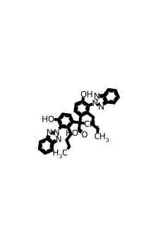 CCCCc1c(C(C)(C(=O)O)c2ccc(O)c(-n3nc4ccccc4n3)c2CCCC)ccc(O)c1-n1nc2ccccc2n1